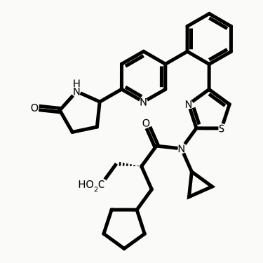 O=C(O)C[C@@H](CC1CCCC1)C(=O)N(c1nc(-c2ccccc2-c2ccc(C3CCC(=O)N3)nc2)cs1)C1CC1